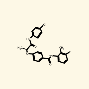 Cc1c(Cl)cccc1NC(=O)c1ccc(O[C@@H](C)C(=O)Nc2ccc(Cl)cc2)cc1